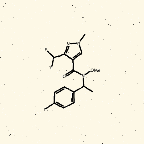 CON(C(=O)c1cn(C)nc1C(F)F)C(C)c1ccc(I)cc1